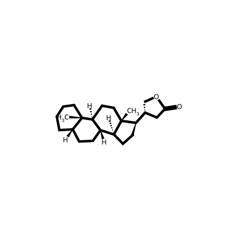 C[C@]12CCCC[C@H]1CC[C@@H]1[C@@H]2CC[C@]2(C)[C@@H]([C@@H]3COC(=O)C3)CC[C@@H]12